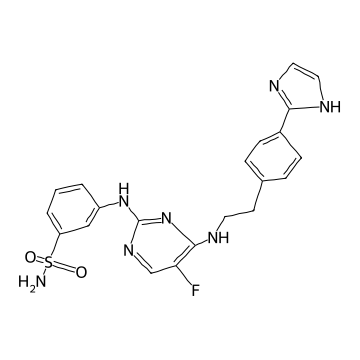 NS(=O)(=O)c1cccc(Nc2ncc(F)c(NCCc3ccc(-c4ncc[nH]4)cc3)n2)c1